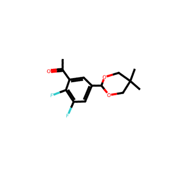 CC(=O)c1cc(C2OCC(C)(C)CO2)cc(F)c1F